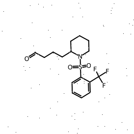 O=CCCCC1CCCCN1S(=O)(=O)c1ccccc1C(F)(F)F